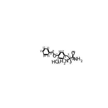 CC(N)(Cc1ccc(OCc2ccccc2)cc1)C(N)=O.Cl